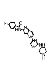 O=C(Nc1cc2nc(-c3cncc(NC4CCNCC4)n3)ccc2cn1)c1ccc(F)cc1